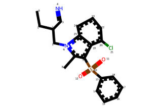 CCC(C=N)Cn1c(C)c(S(=O)(=O)c2ccccc2)c2c(Cl)cccc21